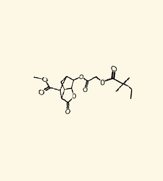 CCC(C)(C)C(=O)OCC(=O)OC1C2CC3C1OC(=O)C3C2C(=O)OC